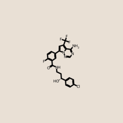 Nc1ncnn2c(-c3ccc(F)c(C(=O)NCC[C@@H](O)c4ccc(Cl)cc4)c3)cc(C(F)(F)F)c12